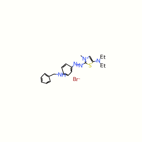 CCN(CC)c1c[n+](C)c(/N=N/c2ccc(NCc3ccccc3)cc2)s1.[Br-]